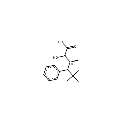 C[C@@H](C(c1ccccc1)C(C)(C)C)N(O)C(=O)O